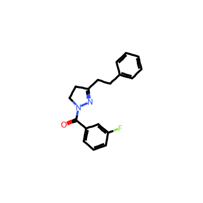 O=C(c1cccc(F)c1)N1CCC(CCc2ccccc2)=N1